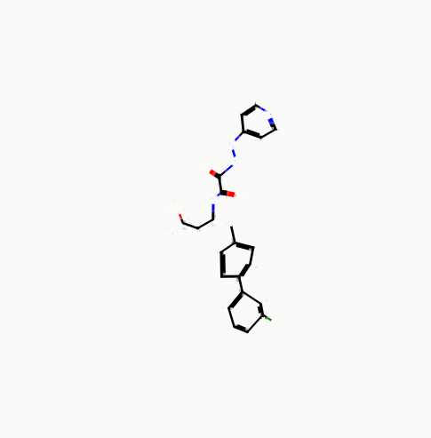 O=C(NNc1ccncc1)C(=O)N[C@H](Cc1ccc(-c2cccc(Cl)c2)cc1)C[C@@H](O)C(=O)O